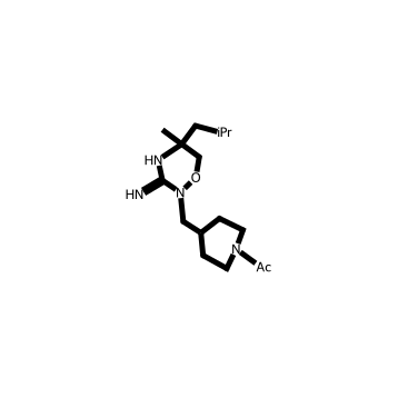 CC(=O)N1CCC(CN2OCC(C)(CC(C)C)NC2=N)CC1